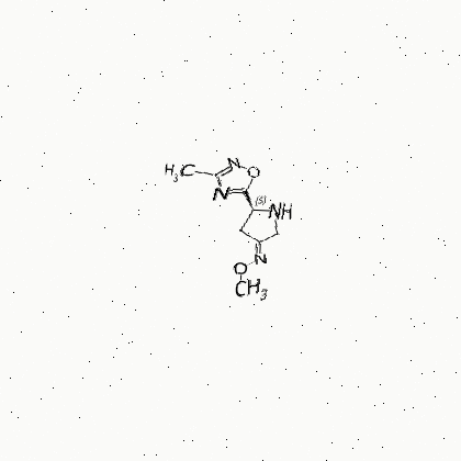 CON=C1CN[C@H](c2nc(C)no2)C1